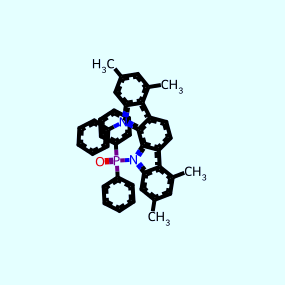 Cc1cc(C)c2c3ccc4c5c(C)cc(C)cc5n(P(=O)(c5ccccc5)c5ccccc5)c4c3n(-c3ccccc3)c2c1